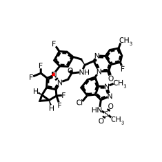 Cc1cc(F)c2c(=O)n(-c3ccc(Cl)c4c(NS(C)(=O)=O)nn(C)c34)c([C@H](Cc3cc(F)cc(F)c3)NC(=O)Cn3nc(C(F)F)c4c3C(F)(F)[C@@H]3C[C@H]43)nc2c1